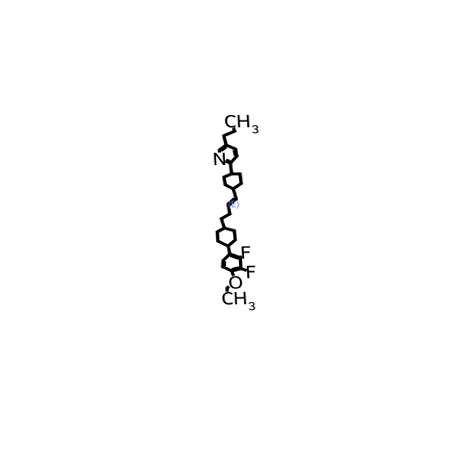 CCCc1ccc(C2CCC(/C=C/CCC3CCC(c4ccc(OCC)c(F)c4F)CC3)CC2)nc1